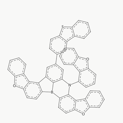 c1ccc2c(c1)oc1cccc(N3c4cc(-c5ccc6sc7ccccc7c6c5)cc5c4B(c4ccc6oc7ccccc7c6c4-5)c4ccc5oc6ccccc6c5c43)c12